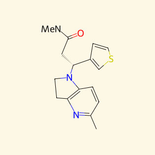 CNC(=O)C[C@H](c1ccsc1)N1CCc2nc(C)ccc21